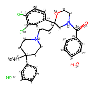 CC(=O)NC1(c2ccccc2)CCN(CCC2(c3ccc(Cl)c(Cl)c3)CN(C(=O)c3ccccc3)CCO2)CC1.Cl.O